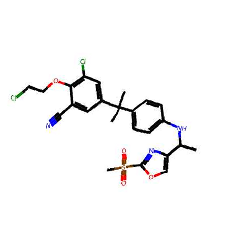 CC(Nc1ccc(C(C)(C)c2cc(Cl)c(OCCCl)c(C#N)c2)cc1)c1coc(S(C)(=O)=O)n1